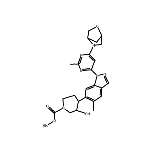 Cc1nc(N2CC3CC2CO3)cc(-n2ncc3cc(C)c(C4CCN(C(=O)OC(C)(C)C)CC4O)cc32)n1